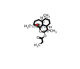 CCC(=O)O[C@@H]1O[C@@H]2O[C@]3(C)CC[C@H]4[C@H](C)CC[C@@H]([C@H]1C)[C@@]24OO3